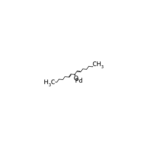 CCCCCC=CC(=O)C=CCCCCC.[Pd]